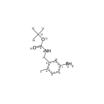 Bc1ccc(C)c(CNC(=O)OC(C)(C)C)c1